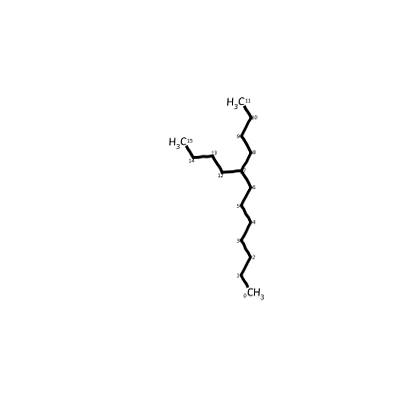 CCCCCCC[C](CCCC)CCCC